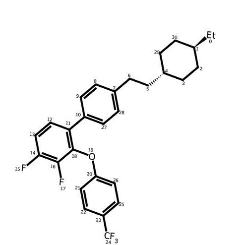 CC[C@H]1CC[C@H](CCc2ccc(-c3ccc(F)c(F)c3Oc3ccc(C(F)(F)F)cc3)cc2)CC1